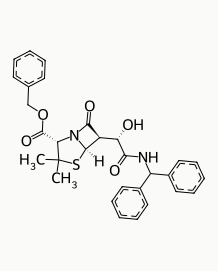 CC1(C)S[C@@H]2[C@H]([C@H](O)C(=O)NC(c3ccccc3)c3ccccc3)C(=O)N2[C@H]1C(=O)OCc1ccccc1